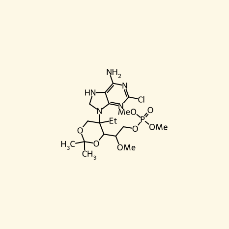 CCC1(N2CNc3c(N)nc(Cl)nc32)COC(C)(C)OC1C(COP(=O)(OC)OC)OC